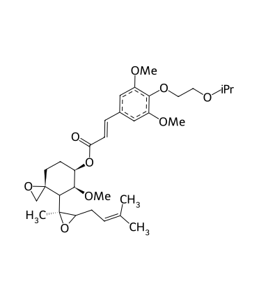 COc1cc(/C=C/C(=O)O[C@@H]2CC[C@]3(CO3)C([C@]3(C)OC3CC=C(C)C)[C@@H]2OC)cc(OC)c1OCCOC(C)C